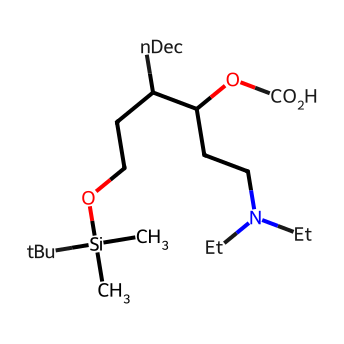 CCCCCCCCCCC(CCO[Si](C)(C)C(C)(C)C)C(CCN(CC)CC)OC(=O)O